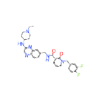 CCN1CCC(Nc2cnc3ccc(CNC(=O)c4cccn(Cc5ccc(F)c(F)c5)c4=O)cc3n2)CC1